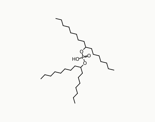 CCCCCCCCC(CCCCCCC)OP(=O)(O)OC(CCCCCCC)CCCCCCCC